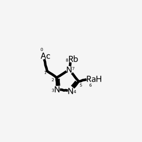 CC(=O)Cc1nn[c]([RaH])[n]1[Rb]